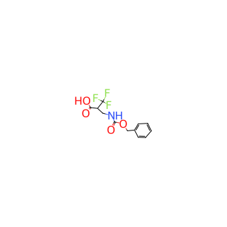 O=C(NCC(C(=O)O)C(F)(F)F)OCc1ccccc1